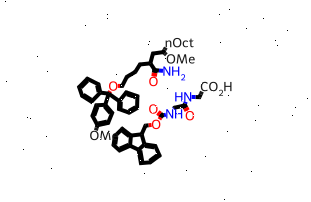 CCCCCCCCC(CC(CCCCOC(c1ccccc1)(c1ccccc1)c1ccc(OC)cc1)C(N)=O)OC.O=C(O)CNC(=O)CNC(=O)OCC1c2ccccc2-c2ccccc21